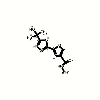 CCCNC(=O)c1csc(-c2nnc(C(C)(C)O)o2)n1